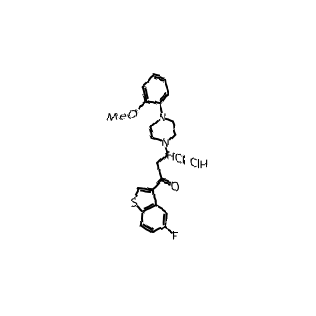 COc1ccccc1N1CCN(CCC(=O)c2csc3ccc(F)cc23)CC1.Cl.Cl